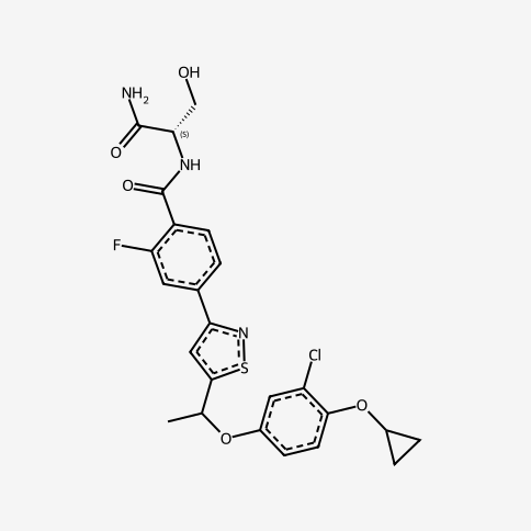 CC(Oc1ccc(OC2CC2)c(Cl)c1)c1cc(-c2ccc(C(=O)N[C@@H](CO)C(N)=O)c(F)c2)ns1